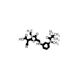 CCn1c(=C(C#N)C(=O)O)sc(=CNc2cccc(N(C)C(=O)C(C)(C)C)c2)c1=O